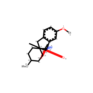 CCOc1ccc2c(c1)C1(NC(=O)NC1=O)C1(CCC(OC)CC1)C2